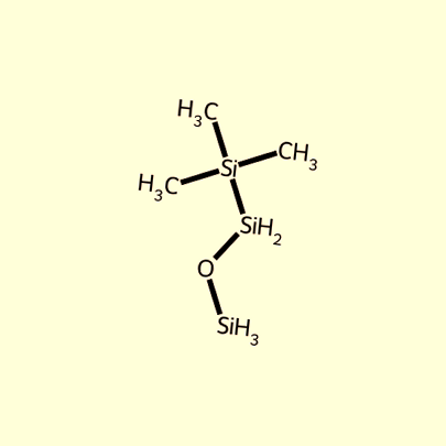 C[Si](C)(C)[SiH2]O[SiH3]